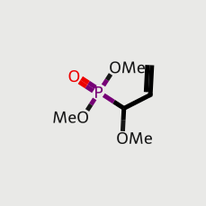 C=CC(OC)P(=O)(OC)OC